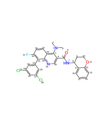 CN(C)c1c(C(=O)NC2CCOc3ccccc32)cnc2c(-c3cc(Cl)cc(Cl)c3)c(F)ccc12